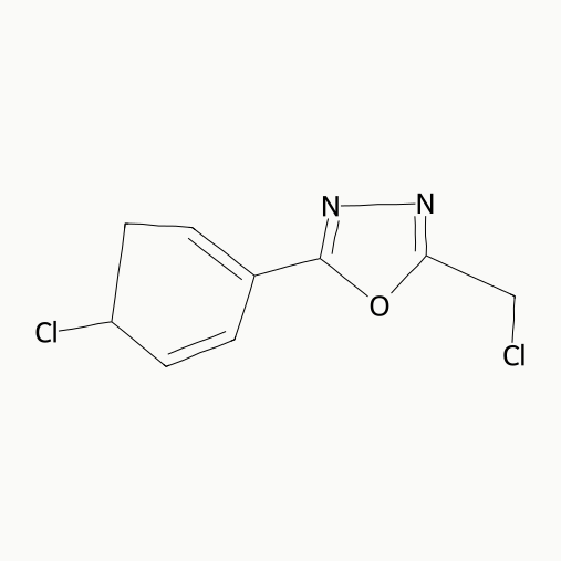 ClCc1nnc(C2=CCC(Cl)C=C2)o1